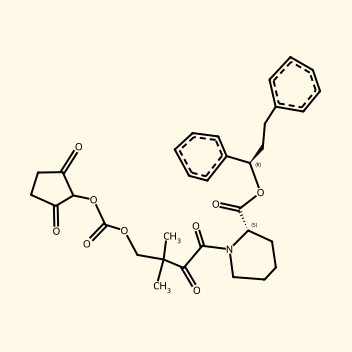 CC(C)(COC(=O)OC1C(=O)CCC1=O)C(=O)C(=O)N1CCCC[C@H]1C(=O)O[C@H](CCc1ccccc1)c1ccccc1